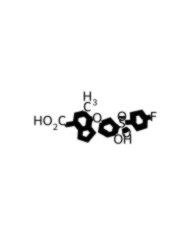 Cc1cc(CC(=O)O)c2c(c1Oc1ccc(O)c(S(=O)(=O)c3ccc(F)cc3)c1)CCC2